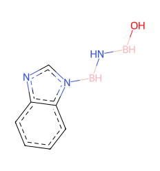 OBNBn1cnc2ccccc21